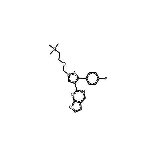 C[Si](C)(C)CCOCn1cc(-c2ncc3ccoc3n2)c(-c2ccc(F)cc2)n1